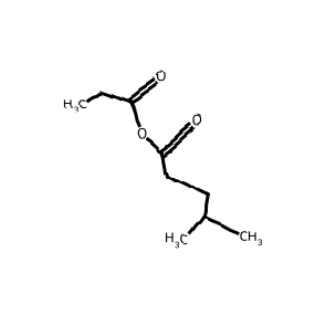 CCC(=O)OC(=O)CCC(C)C